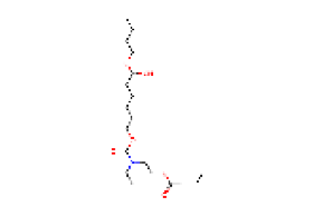 CCCCO[C@@H](O)CCCCCOC(=O)N(CC)CCOC(=O)C(C)(C)CC